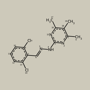 Cc1nc(NN=Cc2c(Cl)cccc2Cl)nc(C)c1C